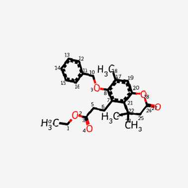 CCOC(=O)CCc1c(OCc2ccccc2)c(C)cc2c1C(C)(C)CC(=O)O2